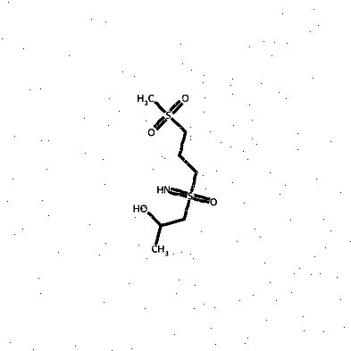 CC(O)CS(=N)(=O)CCCS(C)(=O)=O